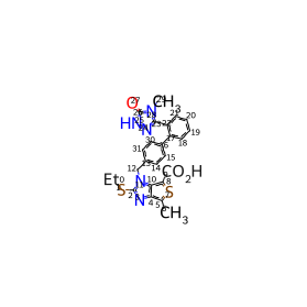 CCSc1nc2c(C)sc(C(=O)O)c2n1Cc1ccc(-c2ccccc2-c2n[nH]c(=O)n2C)cc1